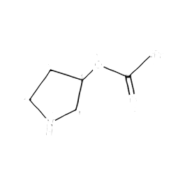 CC(C)C(=O)OC1CCNC1